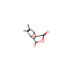 CC1=C(C)C2OC1C1C(=O)OC(=O)C21